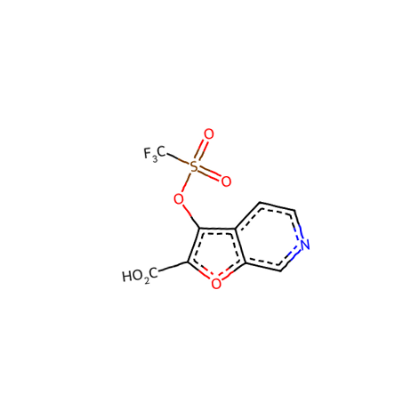 O=C(O)c1oc2cnccc2c1OS(=O)(=O)C(F)(F)F